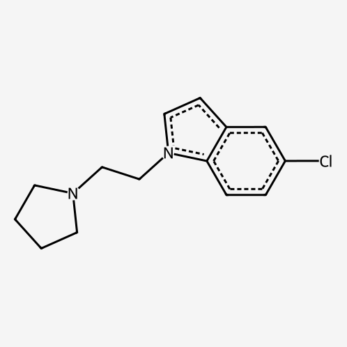 Clc1ccc2c(ccn2CCN2CCCC2)c1